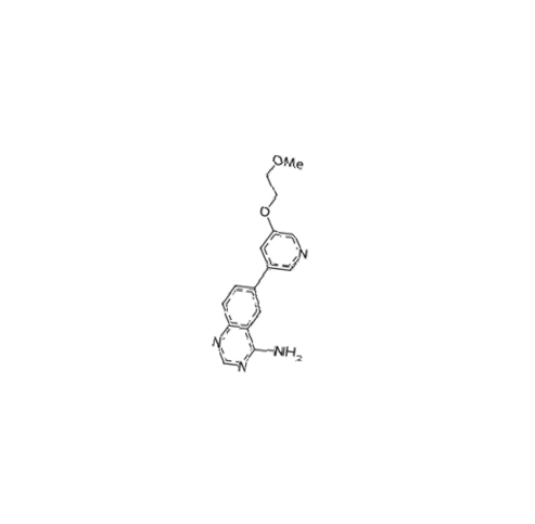 COCCOc1cncc(-c2ccc3ncnc(N)c3c2)c1